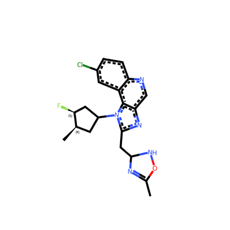 CC1=NC(Cc2nc3cnc4ccc(Cl)cc4c3n2C2C[C@@H](C)[C@@H](F)C2)NO1